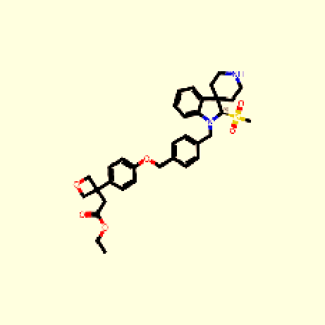 CCOC(=O)CC1(c2ccc(OCc3ccc(CN4c5ccccc5C5(CCNCC5)[C@H]4S(C)(=O)=O)cc3)cc2)COC1